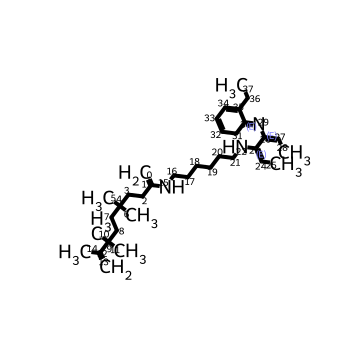 C=C(CCC(C)(C)CCC(C)(C)C(=C)C)NCCCCCCNC(=C/C)/C(=C\C)/N=C1\CC=CC=C1CC